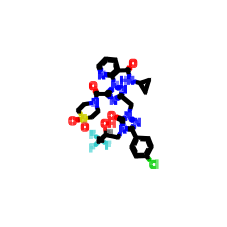 O=C(NC1CC1)c1cccnc1-n1nc(Cn2nc(-c3ccc(Cl)cc3)n(C[C@H](O)C(F)(F)F)c2=O)nc1C(=O)N1CCS(=O)(=O)CC1